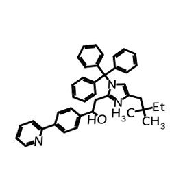 CCC(C)(C)Cc1cn(C(c2ccccc2)(c2ccccc2)c2ccccc2)c(CC(O)c2ccc(-c3ccccn3)cc2)n1